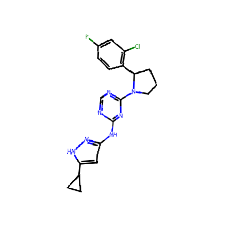 Fc1ccc(C2CCCN2c2ncnc(Nc3cc(C4CC4)[nH]n3)n2)c(Cl)c1